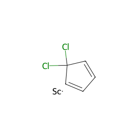 ClC1(Cl)C=CC=C1.[Sc]